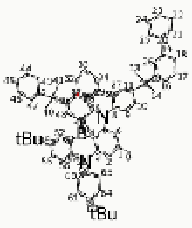 Cc1cc2c3c(c1)N(c1ccc(C(C)(C)c4cccc(-c5ccccc5)c4)cc1-c1ccccc1)c1ccc(C(C)(C)c4ccccc4)cc1B3c1cc(C(C)(C)C)ccc1N2c1ccc(C(C)(C)C)cc1